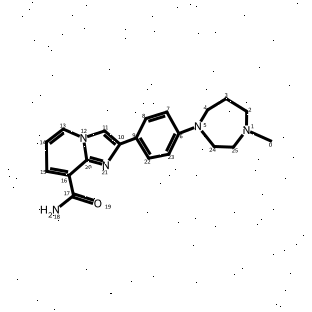 CN1CCCN(c2ccc(-c3cn4cccc(C(N)=O)c4n3)cc2)CC1